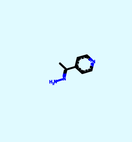 CC(=NN)c1ccncc1